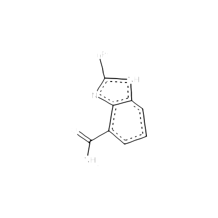 CCCc1nc2c(C(N)=O)cccc2[nH]1